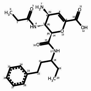 CCC(=O)N[C@@H]1[C@@H](N)C=C(C(=O)O)O[C@H]1C(=O)NC(CC)CCc1ccccc1